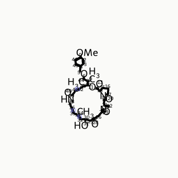 COc1ccc(COCC(C)C2OC(=O)C3CCCN3C(=O)c3coc(n3)CC(=O)CC(O)/C=C(C)/C=C/CNC(=O)/C=C/C2C)cc1